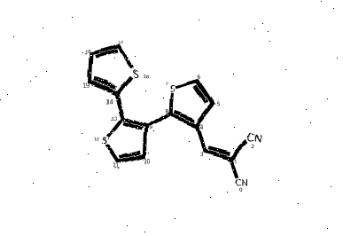 N#CC(C#N)=Cc1ccsc1-c1ccsc1-c1cccs1